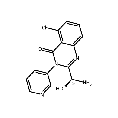 C[C@H](N)c1nc2cccc(Cl)c2c(=O)n1-c1cccnc1